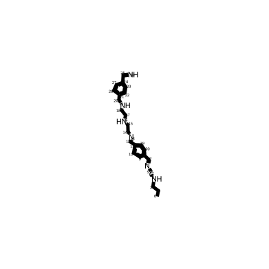 CCCNCC/N=C/c1ccc(/C=N/CCNCCNCc2ccc(C=N)cc2)cc1